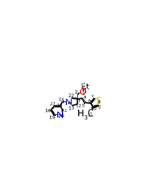 CCOC[C@@]1(CCc2cscc2C)CCN(Cc2cccnc2)C1